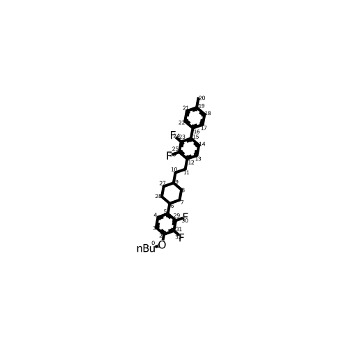 CCCCOc1ccc(C2CCC(CCc3ccc(-c4ccc(C)cc4)c(F)c3F)CC2)c(F)c1F